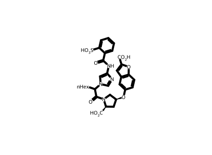 CCCCCCC(C(=O)N1C[C@@H](Oc2ccc3oc(C(=O)O)cc3c2)C[C@H]1C(=O)O)n1cnc(NC(=O)c2ccccc2S(=O)(=O)O)c1